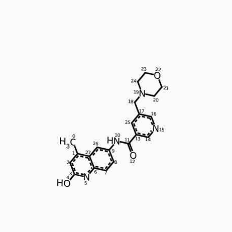 Cc1cc(O)nc2ccc(NC(=O)c3cncc(CN4CCOCC4)c3)cc12